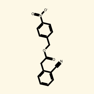 N#Cc1ccccc1[CH]C(=O)OCc1ccc([N+](=O)[O-])cc1